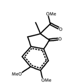 COC(=O)C1(C)Cc2cc(OC)c(OC)cc2C1=O